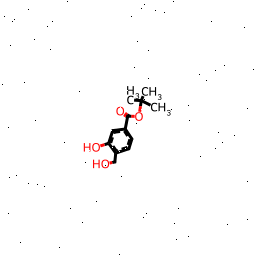 CC(C)(C)OC(=O)c1ccc(CO)c(O)c1